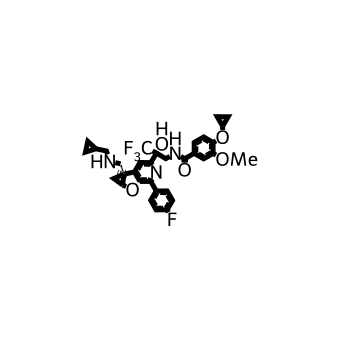 COc1cc(C(=O)NCC(O)(c2cc3c(c(-c4ccc(F)cc4)n2)OC2C[C@@]32CNCC2CC2)C(F)(F)F)ccc1OC1CC1